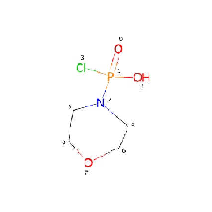 O=P(O)(Cl)N1CCOCC1